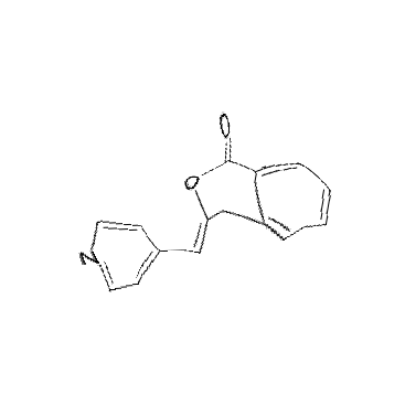 O=C1OC(=Cc2ccncc2)c2ccccc21